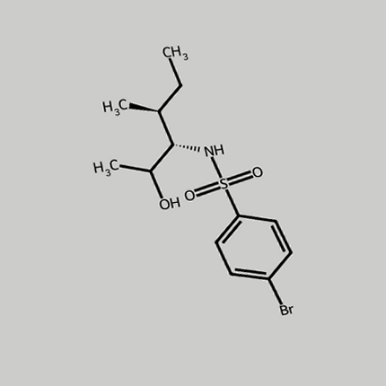 CC[C@H](C)[C@H](NS(=O)(=O)c1ccc(Br)cc1)C(C)O